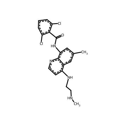 CNCCNc1ccnc2c(NC(=O)c3c(Cl)cccc3Cl)cc(C)cc12